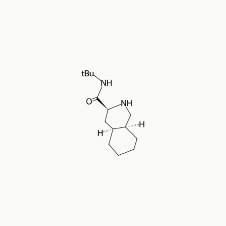 CC(C)(C)NC(=O)[C@@H]1C[C@@H]2CCCC[C@@H]2CN1